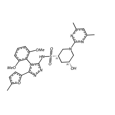 COc1cccc(OC)c1-n1c(NS(=O)(=O)[C@H]2C[C@@H](O)CN(c3nc(C)cc(C)n3)C2)nnc1-c1ccc(C)o1